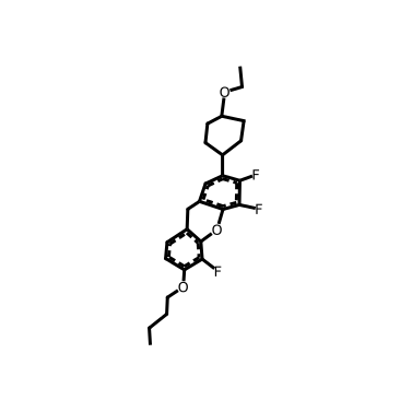 CCCCOc1ccc2c(c1F)Oc1c(cc(C3CCC(OCC)CC3)c(F)c1F)C2